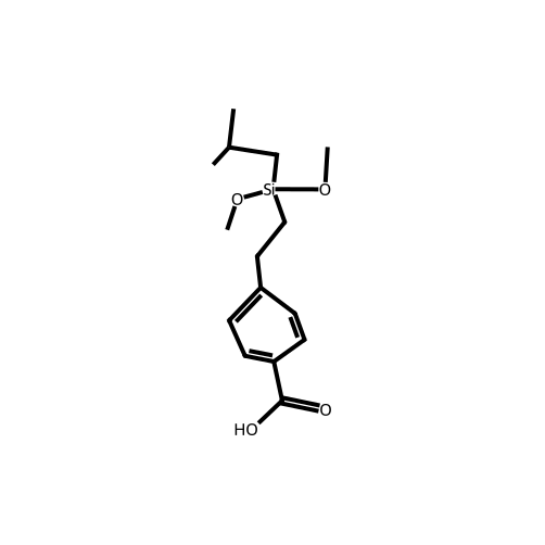 CO[Si](CCc1ccc(C(=O)O)cc1)(CC(C)C)OC